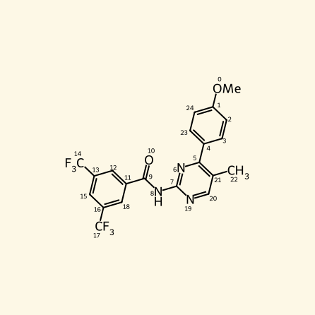 COc1ccc(-c2nc(NC(=O)c3cc(C(F)(F)F)cc(C(F)(F)F)c3)ncc2C)cc1